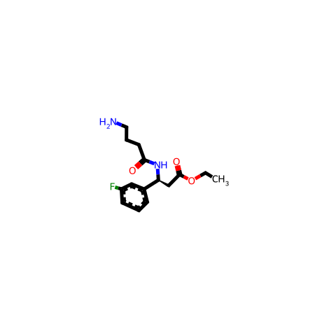 CCOC(=O)C[C@H](NC(=O)CCCN)c1cccc(F)c1